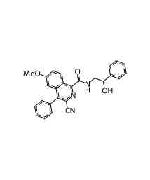 COc1ccc2c(C(=O)NCC(O)c3ccccc3)nc(C#N)c(-c3ccccc3)c2c1